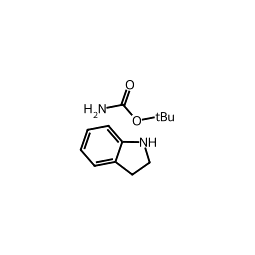 CC(C)(C)OC(N)=O.c1ccc2c(c1)CCN2